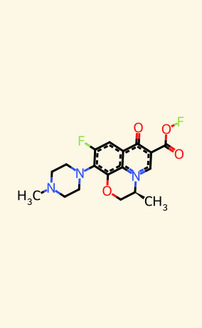 C[C@H]1COc2c(N3CCN(C)CC3)c(F)cc3c(=O)c(C(=O)OF)cn1c23